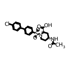 CC(=O)N[C@@H]1CCN(S(=O)(=O)c2ccc(-c3ccc(Cl)cc3)cc2)[C@@H](C(=O)O)C1